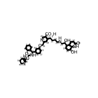 O=C(NC(c1ccccc1)c1cccc(OCc2cc(CCCCNC[C@H](O)c3ccc(O)c4[nH]c(=O)ccc34)c(C(=O)O)cn2)c1)O[C@H]1CN2CCC1CC2